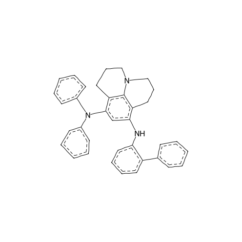 c1ccc(-c2ccccc2Nc2cc(N(c3ccccc3)c3ccccc3)c3c4c2CCCN4CCC3)cc1